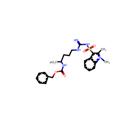 Cc1c(S(=O)(=O)NC(=N)NCCCC(NC(=O)OCc2ccccc2)C(=O)O)c2ccccc2n1C